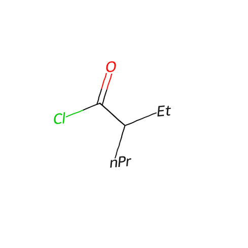 CCCC(CC)C(=O)Cl